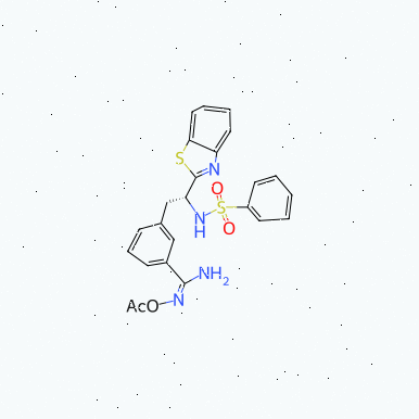 CC(=O)O/N=C(/N)c1cccc(C[C@@H](NS(=O)(=O)c2ccccc2)c2nc3ccccc3s2)c1